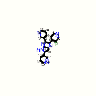 Fc1cnccc1-c1nc2cc(-c3cccnc3)[nH]c2nc1-c1cccnc1